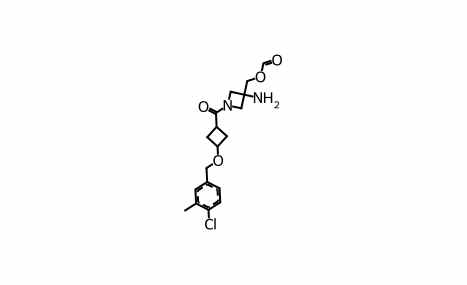 Cc1cc(COC2CC(C(=O)N3CC(N)(COC=O)C3)C2)ccc1Cl